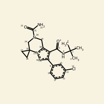 CC(C)(C)NC(=O)c1c(-c2cccc(Cl)c2)nn2c1CN(C(N)=O)CC21CC1